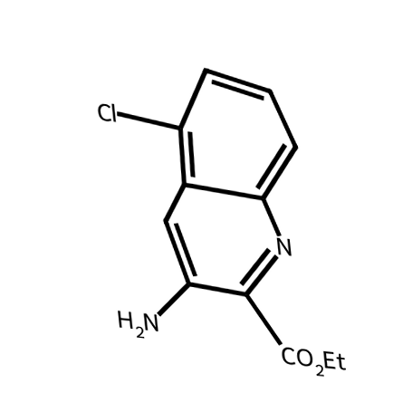 CCOC(=O)c1nc2cccc(Cl)c2cc1N